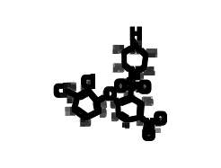 O=[N+]([O-])c1ccc(Oc2cccc(Cl)c2Cl)c(S(=O)(=O)N2CCNCC2)c1